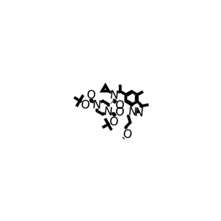 COCCCn1nc(C)c2c(C)cc(C(C)N(C(=O)[C@H]3CN(C(=O)OC(C)(C)C)CCN3C(=O)OC(C)(C)C)C3CC3)cc21